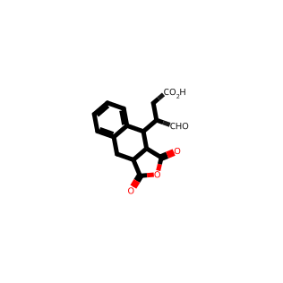 O=CC(CC(=O)O)C1c2ccccc2CC2C(=O)OC(=O)C21